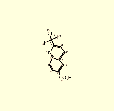 O=C(O)c1ccc2nc(C(F)(F)C(F)(F)F)ccc2c1